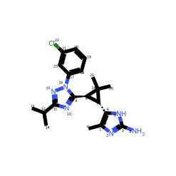 Cc1nc(N)[nH]c1[C@@H]1[C@@H](c2nc(C(C)C)nn2-c2cccc(Cl)c2)C1(C)C